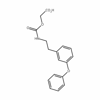 O=C(O)COC(=O)NCCc1cccc(Oc2ccccc2)c1